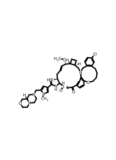 CO[C@H]1/C=C/C[C@H](C)C(NC(=O)c2cc(CN3CCN4CCOC[C@@H]4C3)n(C)c2)/[SH](=O)=N\C(=O)c2ccc3c(c2)N(Cc2ccc(Cl)cc2CCCCO3)C[C@@H]2CC[C@H]21